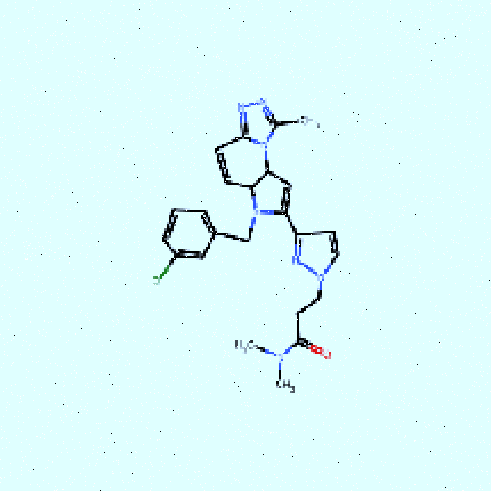 Cc1nnc2n1C1C=C(c3ccn(CCC(=O)N(C)C)n3)N(Cc3cccc(Cl)c3)C1C=C2